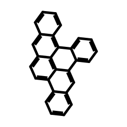 c1ccc2c(c1)cc1c3ccccc3c3c4ccccc4cc4ccc2c1c43